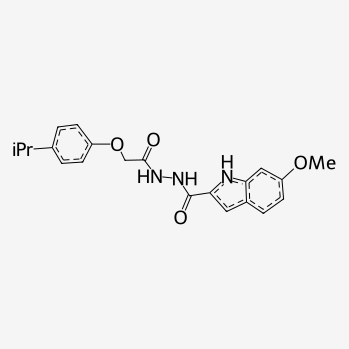 COc1ccc2cc(C(=O)NNC(=O)COc3ccc(C(C)C)cc3)[nH]c2c1